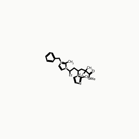 CCC(CC(CC(C)(C)C(=O)OC)n1ccnc1C)n1cc[n+](Cc2ccccc2)c1C